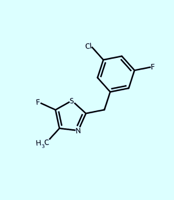 Cc1nc(Cc2cc(F)cc(Cl)c2)sc1F